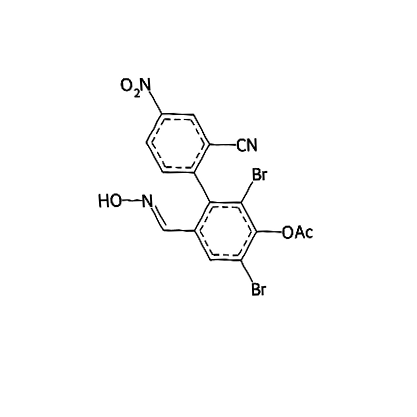 CC(=O)Oc1c(Br)cc(C=NO)c(-c2ccc([N+](=O)[O-])cc2C#N)c1Br